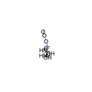 COc1ccc(-c2ccc(/C=C/CNC(C)(C(=O)NO)C(C)(O)C(F)F)cc2)cc1